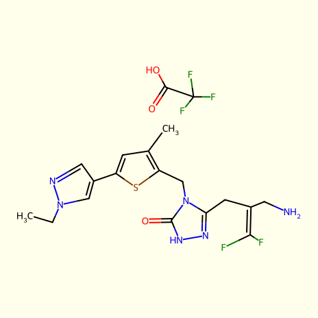 CCn1cc(-c2cc(C)c(Cn3c(CC(CN)=C(F)F)n[nH]c3=O)s2)cn1.O=C(O)C(F)(F)F